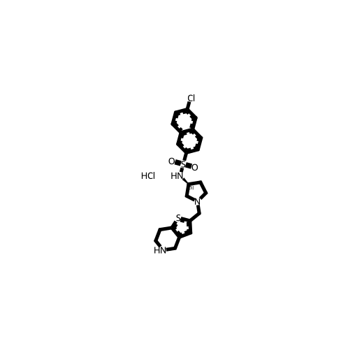 Cl.O=S(=O)(N[C@H]1CCN(Cc2cc3c(s2)CCNC3)C1)c1ccc2cc(Cl)ccc2c1